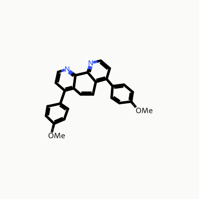 COc1ccc(-c2ccnc3c2ccc2c(-c4ccc(OC)cc4)ccnc23)cc1